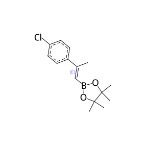 C/C(=C\B1OC(C)(C)C(C)(C)O1)c1ccc(Cl)cc1